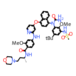 COc1cc(Nc2cc(Oc3ccc(N(C(N)=O)c4cc(C(C)(C)C)cc(NS(C)(=O)=O)c4OC)c4ccccc34)ccn2)ccc1C(=O)N[C@H](C)CCN1CCOCC1